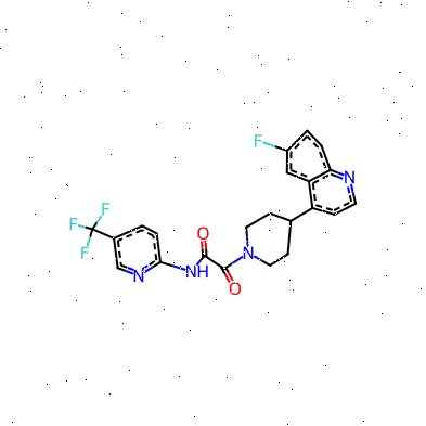 O=C(Nc1ccc(C(F)(F)F)cn1)C(=O)N1CCC(c2ccnc3ccc(F)cc23)CC1